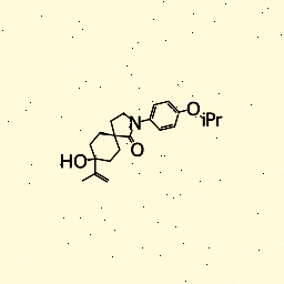 C=C(C)[C@]1(O)CC[C@]2(CCN(c3ccc(OC(C)C)cc3)C2=O)CC1